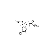 CNC(=O)C(C)(C)[C@H]1CC2(CCN(C)CC2)c2cc(Cl)c(C)cc21